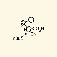 CCCCSCSc1nc(-c2sccc2-c2ccccc2)cc(C(=O)O)c1C#N